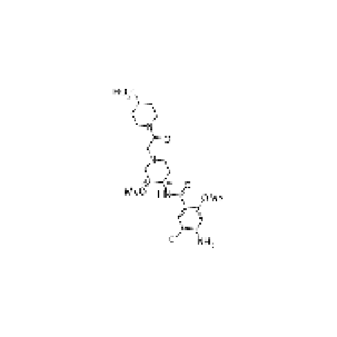 COc1cc(N)c(Cl)cc1C(=O)N[C@@H]1CCN(CC(=O)N2CCC(C(=O)O)CC2)C[C@@H]1OC